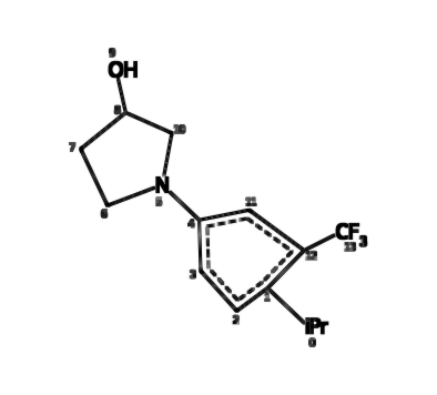 CC(C)c1ccc(N2CCC(O)C2)cc1C(F)(F)F